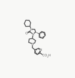 O=C(O)c1ccc(CN2CCC(N3C(=O)N(C4CCCCC4)C[C@H]3c3ccccc3)CC2)cn1